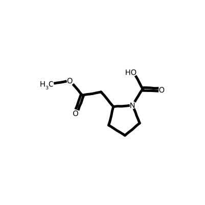 COC(=O)CC1CCCN1C(=O)O